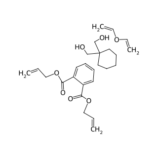 C=CCOC(=O)c1ccccc1C(=O)OCC=C.C=COC=C.OCC1(CO)CCCCC1